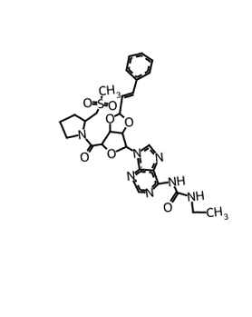 CCNC(=O)Nc1ncnc2c1ncn2C1OC(C(=O)N2CCCC2CS(C)(=O)=O)C2OC(C=Cc3ccccc3)OC21